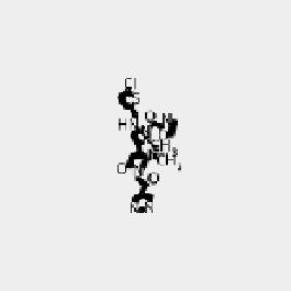 CN(C)c1cn(CC(=O)c2cncnc2)c(=O)cc1-c1cc(NCc2ccc(Cl)s2)n(C(=O)c2ncco2)n1